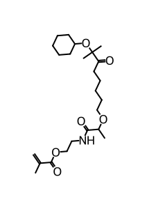 C=C(C)C(=O)OCCNC(=O)C(C)OCCCCCC(=O)C(C)(C)OC1CCCCC1